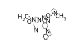 C=CC(=O)N1CCN(c2nc(OCC3CCCN3C)nc3c2CCC(N2CCc4ccccc42)C3)C[C@@H]1CC#N